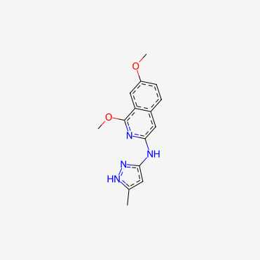 COc1ccc2cc(Nc3cc(C)[nH]n3)nc(OC)c2c1